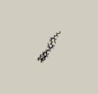 CCCC[C@H]1CC[C@H]([C@H]2CC[C@H](CCc3ccc(OC(F)(F)F)cc3)CC2)CC1